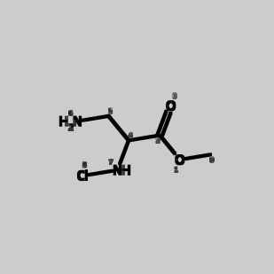 COC(=O)C(CN)NCl